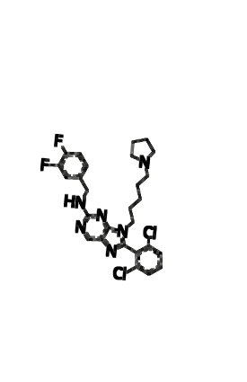 Fc1ccc(CNc2ncc3nc(-c4c(Cl)cccc4Cl)n(CCCCCN4CCCC4)c3n2)cc1F